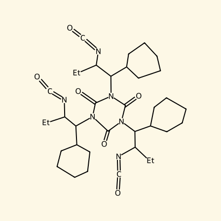 CCC(N=C=O)C(C1CCCCC1)n1c(=O)n(C(C2CCCCC2)C(CC)N=C=O)c(=O)n(C(C2CCCCC2)C(CC)N=C=O)c1=O